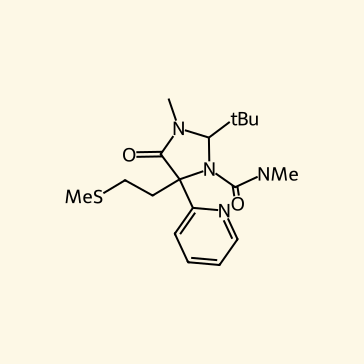 CNC(=O)N1C(C(C)(C)C)N(C)C(=O)C1(CCSC)c1ccccn1